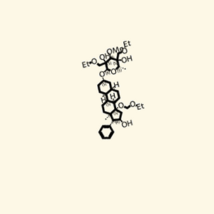 CCOCO[C@]12C[C@@H](O)[C@H](c3ccccc3)[C@@]1(C)CC[C@H]1[C@H]2CC[C@@H]2C[C@@H](O[C@@H]3O[C@@H](C)[C@@](O)(COCC)[C@@H](OC)[C@@]3(O)COCC)CC[C@@]21C